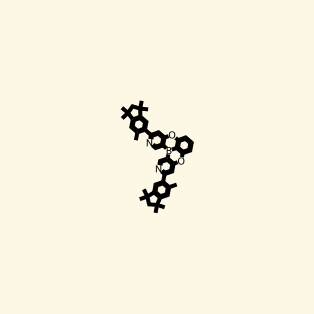 Cc1cc2c(cc1-c1cc3c(cn1)B1c4cnc(-c5cc6c(cc5C)C(C)(C)CC6(C)C)cc4Oc4cccc(c41)O3)C(C)(C)CC2(C)C